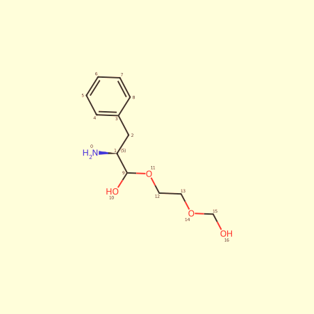 N[C@@H](Cc1ccccc1)C(O)OCCOCO